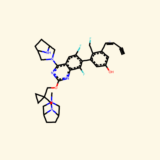 C#C/C=C\c1cc(O)cc(-c2c(F)cc3c(N4CC5CCC(C4)N5)nc(OCC4(CN5C6CCC5CN(C)C6)CC4)nc3c2F)c1CF